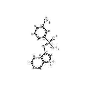 NS(=O)(=Nc1c[nH]c2ccccc12)c1cccc(C(F)(F)F)c1